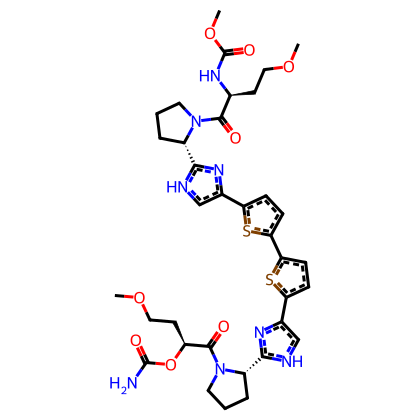 COCC[C@H](NC(=O)OC)C(=O)N1CCC[C@H]1c1nc(-c2ccc(-c3ccc(-c4c[nH]c([C@@H]5CCCN5C(=O)[C@H](CCOC)OC(N)=O)n4)s3)s2)c[nH]1